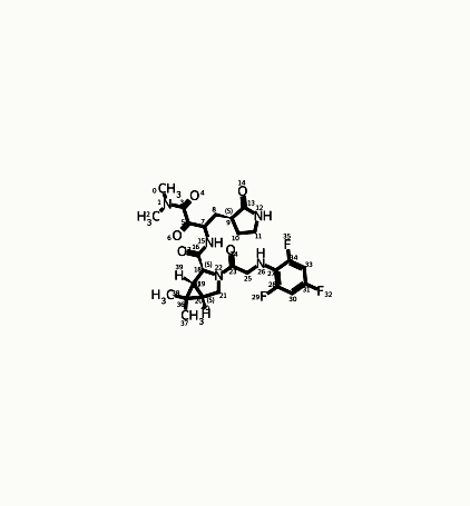 CN(C)C(=O)C(=O)C(C[C@@H]1CCNC1=O)NC(=O)[C@@H]1[C@@H]2[C@H](CN1C(=O)CNc1c(F)cc(F)cc1F)C2(C)C